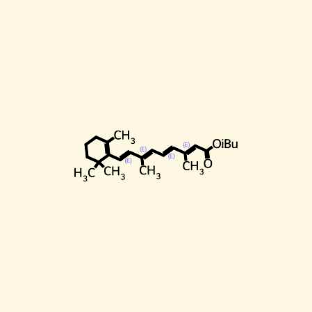 CC1=C(/C=C/C(C)=C/C=C/C(C)=C/C(=O)OCC(C)C)C(C)(C)CCC1